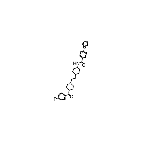 O=C(N[C@H]1CC[C@H](CCN2CCC(C(=O)c3ccc(F)cc3)CC2)CC1)c1ccc(-n2cccc2)cc1